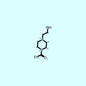 CCC(=O)N1CCN(CC[NH])CC1